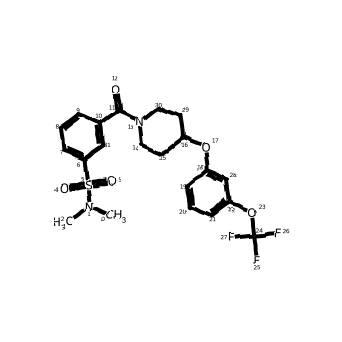 CN(C)S(=O)(=O)c1cccc(C(=O)N2CCC(Oc3cccc(OC(F)(F)F)c3)CC2)c1